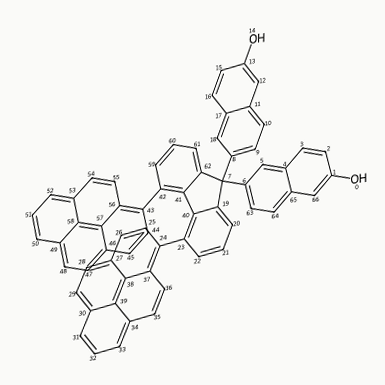 Oc1ccc2cc(C3(c4ccc5cc(O)ccc5c4)c4cccc(-c5ccc6ccc7cccc8ccc5c6c78)c4-c4c(-c5ccc6ccc7cccc8ccc5c6c78)cccc43)ccc2c1